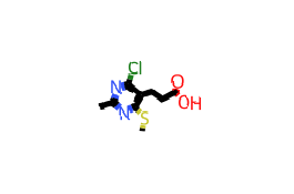 CSc1nc(C)nc(Cl)c1CCC(=O)O